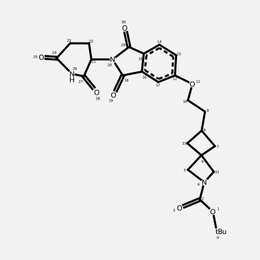 CC(C)(C)OC(=O)N1CC2(CC(CCOc3ccc4c(c3)C(=O)N(C3CCC(=O)NC3=O)C4=O)C2)C1